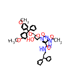 COc1ccc(C(OC[C@H]2O[C@@H](n3cc(C(=O)NCCC(c4ccccc4)c4ccccc4)c(NC(C)=O)nc3=O)C[C@@H]2O)(c2ccccc2)c2ccc(OC)cc2)cc1